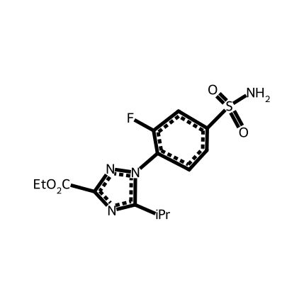 CCOC(=O)c1nc(C(C)C)n(-c2ccc(S(N)(=O)=O)cc2F)n1